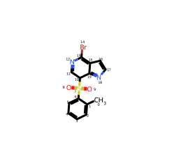 Cc1ccccc1S(=O)(=O)C1C=NC(Br)=C2C=CN=C21